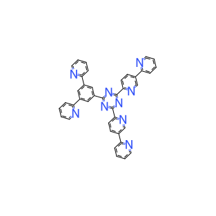 c1ccc(-c2ccc(-c3nc(-c4cc(-c5ccccn5)cc(-c5ccccn5)c4)nc(-c4ccc(-c5ccccn5)cn4)n3)nc2)nc1